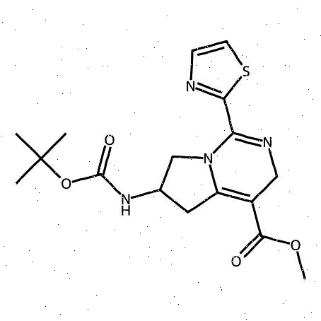 COC(=O)C1=C2CC(NC(=O)OC(C)(C)C)CN2C(c2nccs2)=NC1